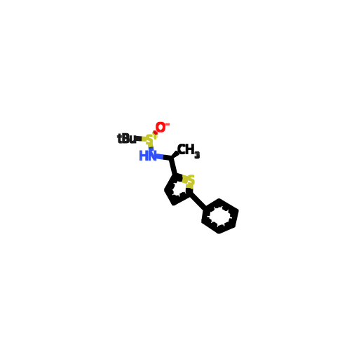 C[C@H](N[S+]([O-])C(C)(C)C)c1ccc(-c2ccccc2)s1